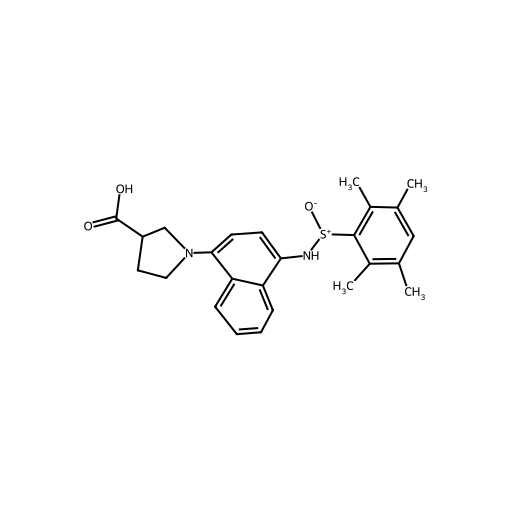 Cc1cc(C)c(C)c([S+]([O-])Nc2ccc(N3CCC(C(=O)O)C3)c3ccccc23)c1C